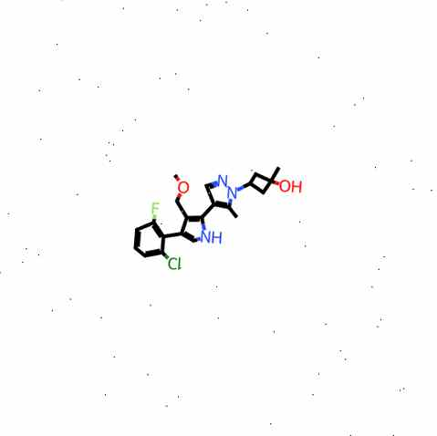 COCc1c(-c2c(F)cccc2Cl)c[nH]c1-c1cnn(C2CC(C)(O)C2)c1C